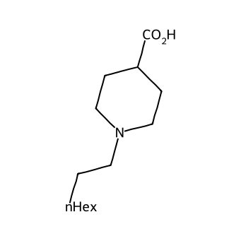 CCCCCCCCN1CCC(C(=O)O)CC1